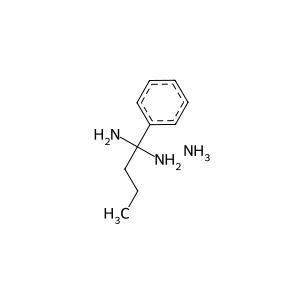 CCCC(N)(N)c1ccccc1.N